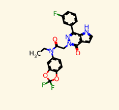 CCN(C(=O)Cn1nc(-c2cccc(F)c2)c2[nH]ccc2c1=O)c1ccc2c(c1)OC(F)(F)O2